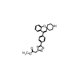 COC(=O)Cn1nnc(-c2ccc(C3=CC4(CCNCC4)Oc4ccccc43)cc2)n1